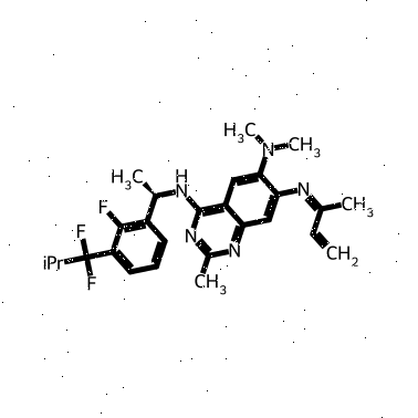 C=C/C(C)=N\c1cc2nc(C)nc(N[C@H](C)c3cccc(C(F)(F)C(C)C)c3F)c2cc1N(C)C